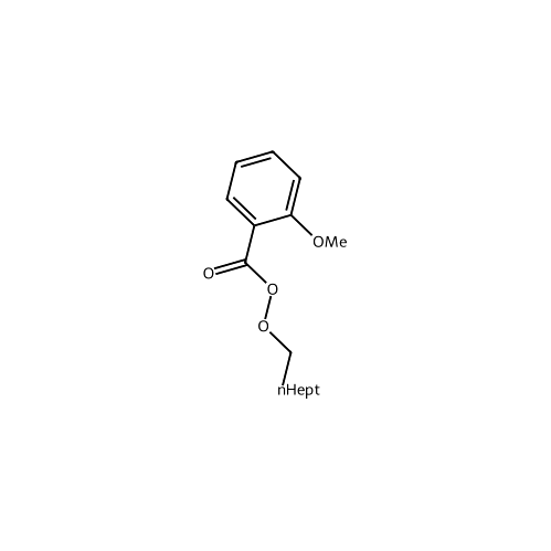 [CH2]CCCCCCCOOC(=O)c1ccccc1OC